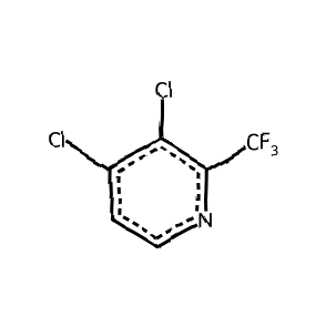 FC(F)(F)c1nccc(Cl)c1Cl